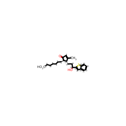 CC1=CC(=O)[C@H](CCCCCCC(=O)O)[C@H]1CCC(O)c1cc2ccccc2s1